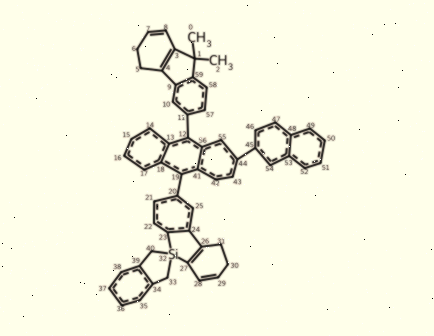 CC1(C)C2=C(CCC=C2)c2cc(-c3c4ccccc4c(-c4ccc5c(c4)C4=C(C=CCC4)[Si]54Cc5ccccc5C4)c4ccc(-c5ccc6ccccc6c5)cc34)ccc21